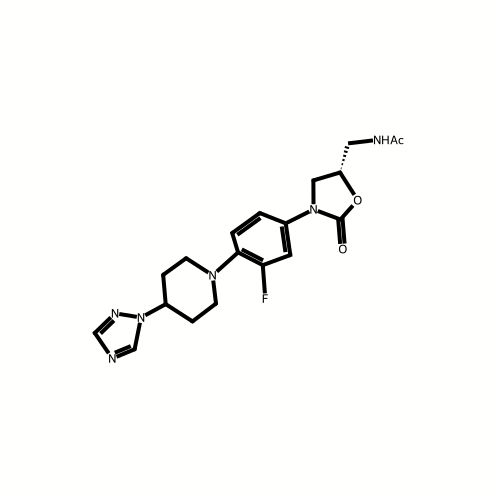 CC(=O)NC[C@H]1CN(c2ccc(N3CCC(n4cncn4)CC3)c(F)c2)C(=O)O1